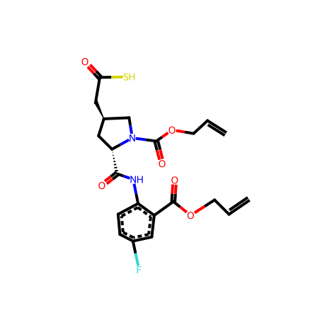 C=CCOC(=O)c1cc(F)ccc1NC(=O)[C@@H]1C[C@@H](CC(=O)S)CN1C(=O)OCC=C